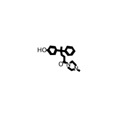 CN1CCN(C(=O)CCC(C)(c2ccccc2)c2ccc(O)cc2)CC1